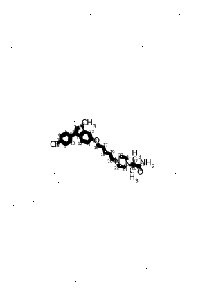 Cn1cc(-c2ccc(Cl)cc2)c2ccc(OCCCCCN3CCN(C(C)(C)C(N)=O)CC3)cc21